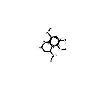 CSc1cc(Br)c(SC)c2c1OCCC2SC